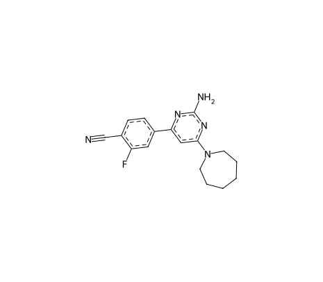 N#Cc1ccc(-c2cc(N3CCCCCC3)nc(N)n2)cc1F